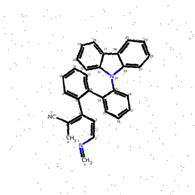 C=N/C=C\C(=C(/C)C#N)c1ccccc1-c1ccccc1-n1c2ccccc2c2ccccc21